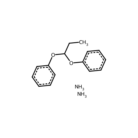 CCC(Oc1ccccc1)Oc1ccccc1.N.N